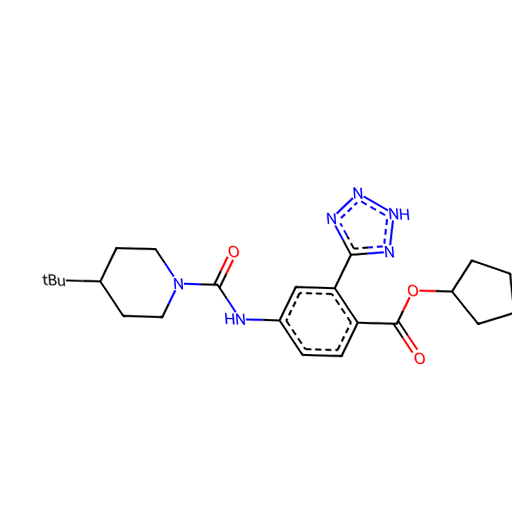 CC(C)(C)C1CCN(C(=O)Nc2ccc(C(=O)OC3CCCC3)c(-c3nn[nH]n3)c2)CC1